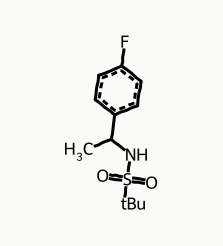 CC(NS(=O)(=O)C(C)(C)C)c1ccc(F)cc1